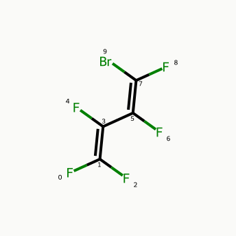 FC(F)=C(F)C(F)=C(F)Br